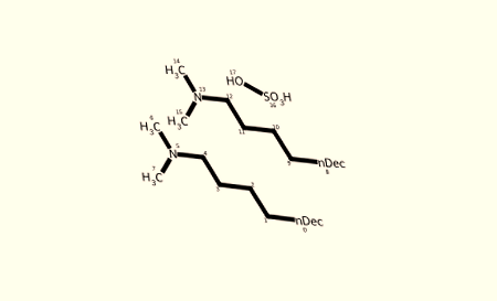 CCCCCCCCCCCCCCN(C)C.CCCCCCCCCCCCCCN(C)C.O=S(=O)(O)O